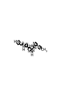 CN1CCN(c2ccnc3[nH]c(-c4n[nH]c5ncc(-c6cncc(NC(=O)CC7CCNCC7)c6)cc45)nc23)CC1